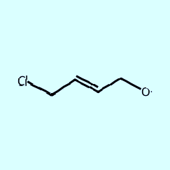 [O]C/C=C/CCl